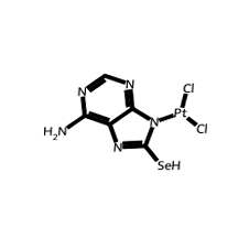 Nc1ncnc2c1nc([SeH])[n]2[Pt]([Cl])[Cl]